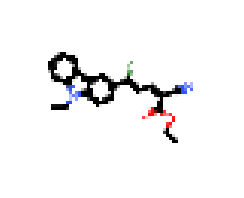 CCOC(=O)C(C#N)=CC=C(Cl)c1ccc2c(c1)c1ccccc1n2CC